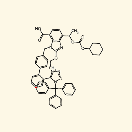 CCOc1nc2c(C(C)OC(=O)OC3CCCCC3)ccc(C(=O)O)c2n1Cc1ccc(-c2ccccc2-c2nnnn2C(c2ccccc2)(c2ccccc2)c2ccccc2)cc1